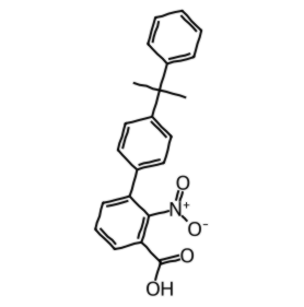 CC(C)(c1ccccc1)c1ccc(-c2cccc(C(=O)O)c2[N+](=O)[O-])cc1